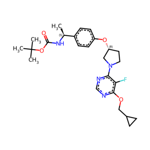 C[C@H](NC(=O)OC(C)(C)C)c1ccc(O[C@@H]2CCN(c3ncnc(OCC4CC4)c3F)C2)cc1